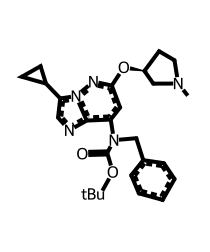 CN1CC[C@H](Oc2cc(N(Cc3ccccc3)C(=O)OC(C)(C)C)c3ncc(C4CC4)n3n2)C1